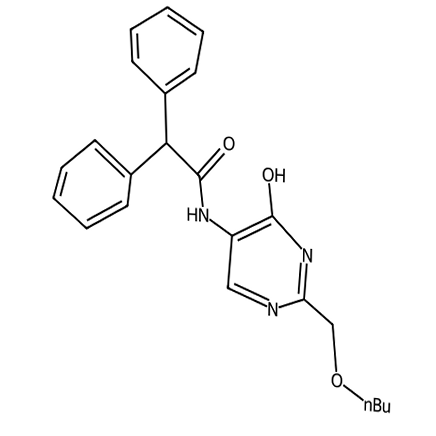 CCCCOCc1ncc(NC(=O)C(c2ccccc2)c2ccccc2)c(O)n1